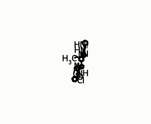 CCc1cc(-c2ccc3c(NS(=O)(=O)c4ccccc4Cl)ncnn23)cc2cnc(NC[C@@H]3CCCCN3)nc12